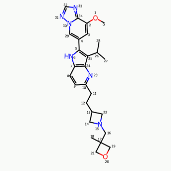 COc1cc(-c2[nH]c3ccc(CCC4CN(CC5(C)COC5)C4)nc3c2C(C)C)cn2ncnc12